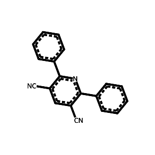 N#Cc1cc(C#N)c(-c2ccccc2)nc1-c1ccccc1